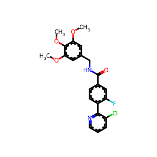 COc1cc(CNC(=O)c2ccc(-c3ncccc3Cl)c(F)c2)cc(OC)c1OC